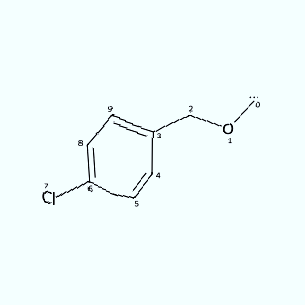 [C]OCc1ccc(Cl)cc1